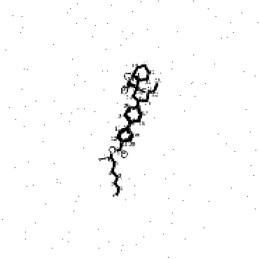 CCCCCC[C@@H](C)OC(=O)c1ccc(-c2ccc(C(CCCC)C[C@@](F)(C(=O)O)C3CCCCC3)cc2)cc1